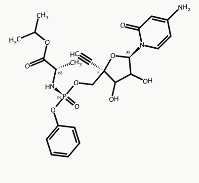 C#C[C@]1(CO[P@@](=O)(N[C@@H](C)C(=O)OC(C)C)Oc2ccccc2)O[C@@H](n2ccc(N)cc2=O)C(O)C1O